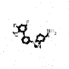 COc1c(F)cc(F)cc1-c1cccc(-n2cnc3cc([C@@H](C)N)ccc32)c1